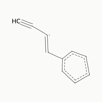 C#C[C]=Cc1ccccc1